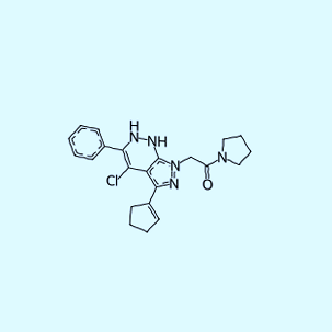 O=C(Cn1nc(C2=CCCC2)c2c1NNC(c1ccccc1)=C2Cl)N1CCCC1